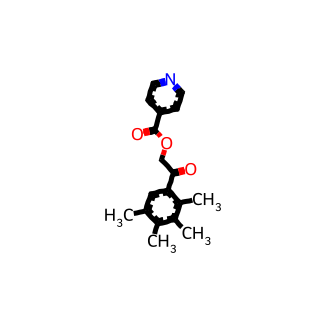 Cc1cc(C(=O)COC(=O)c2ccncc2)c(C)c(C)c1C